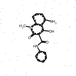 Cn1c(=O)c(C(=O)Nc2ccccc2)c(O)c2c(N)cccc21